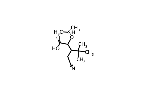 C[SiH](C)OC(C(=O)O)C(CC#N)C(C)(C)C